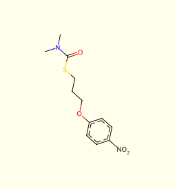 CN(C)C(=O)SCCCOc1ccc([N+](=O)[O-])cc1